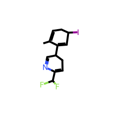 CC1=CCC(I)C=C1C1C=NC(C(F)F)=CC1